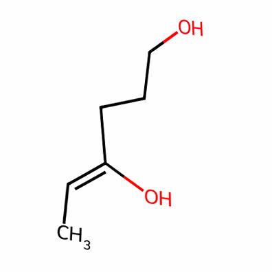 CC=C(O)CCCO